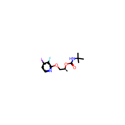 C[C@@H](COc1nccc(I)c1F)OC(=O)NC(C)(C)C